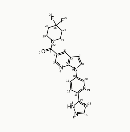 O=C(c1cnc2c(ccn2-c2ccc(-c3ncn[nH]3)nc2)c1)N1CCC(F)(F)CC1